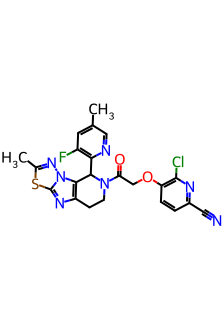 Cc1cnc(C2c3c(nc4sc(C)nn34)CCN2C(=O)COc2ccc(C#N)nc2Cl)c(F)c1